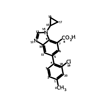 Cc1ccc(-c2cc(C(=O)O)c3c(c2)ncn3C2CC2)c(Cl)c1